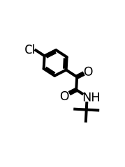 CC(C)(C)NC(=O)C(=O)c1ccc(Cl)cc1